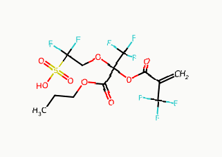 C=C(C(=O)OC(OCC(F)(F)S(=O)(=O)O)(C(=O)OCCC)C(F)(F)F)C(F)(F)F